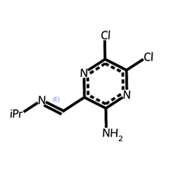 CC(C)/N=C/c1nc(Cl)c(Cl)nc1N